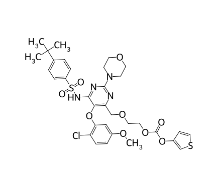 COc1ccc(Cl)c(Oc2c(COCCOC(=O)Oc3ccsc3)nc(N3CCOCC3)nc2NS(=O)(=O)c2ccc(C(C)(C)C)cc2)c1